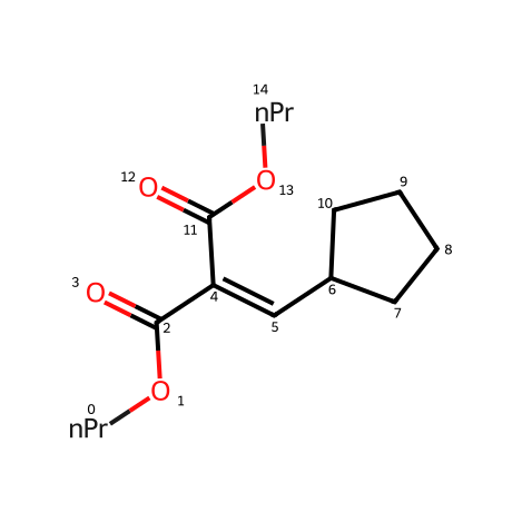 CCCOC(=O)C(=CC1CCCC1)C(=O)OCCC